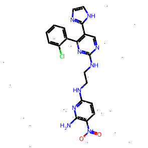 Nc1nc(NCCNc2ncc(-c3ncc[nH]3)c(-c3ccccc3Cl)n2)ccc1[N+](=O)[O-]